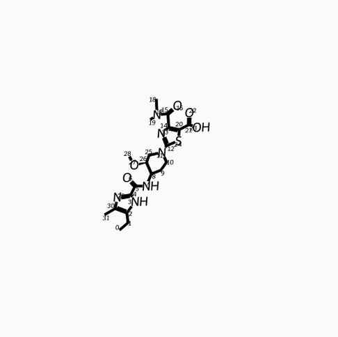 CCc1[nH]c(C(=O)NC2CCN(c3nc(C(=O)N(C)C)c(C(=O)O)s3)C[C@@H]2OC)nc1C